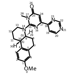 COc1ccc2c(c1)CC[C@H]1[C@H]2CCCN1c1nc(-c2ccncn2)cc(=O)n1C